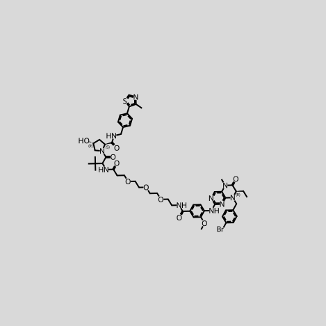 CC[C@@H]1C(=O)N(C)c2cnc(Nc3ccc(C(=O)NCCOCCOCCOCCC(=O)NC(C(=O)N4C[C@H](O)C[C@H]4C(=O)NCc4ccc(-c5scnc5C)cc4)C(C)(C)C)cc3OC)nc2N1Cc1ccc(Br)cc1